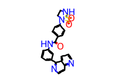 O=C(Nc1cccc(-c2nccc3ncccc23)c1)c1ccc(N2CCNS2(=O)=O)cc1